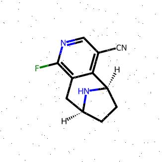 N#Cc1cnc(F)c2c1[C@H]1CC[C@@H](C2)N1